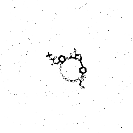 CN(Cc1cccc2c1OCCOCCOCCN(CCO)S(=O)(=O)c1ccc(cc1)-c1cnc(N)c(n1)C(=O)N2)C(=O)OC(C)(C)C